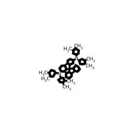 Cc1ccc(N(c2ccc(C)c(C)c2)c2ccc3c(c2)C2(c4ccccc4-c4ccccc42)c2cc(N(c4ccc(C)c(C)c4)c4ccc(C)c(C)c4)ccc2-3)cc1C